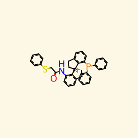 O=C(CSc1ccccc1)Nc1cccc2c1[C@@]1(CC2)CCc2cccc(P(c3ccccc3)c3ccccc3)c21